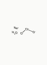 O.[Na+].[O-][Cl+][O-]